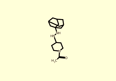 CC(=O)N1CCC(NNC23CC4CC(CC(C4)C2)C3)CC1